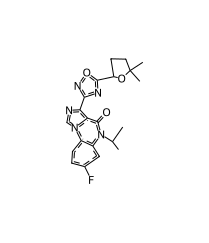 CC(C)n1c(=O)c2c(-c3noc(C4CCC(C)(C)O4)n3)ncn2c2ccc(F)cc21